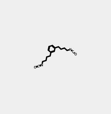 O=C=NCCCCc1cccc(CCCCN=C=O)c1